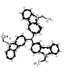 CCn1c2ccccc2c2cc(C(c3ccc4c(c3)c3ccccc3n4CC)c3ccc4c(c3)c3ccccc3n4CC)ccc21